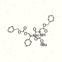 CC(C)(C)OC(=O)N[C@H](CC(=O)OCc1ccccc1)C(=O)N[C@H](COC(=O)OCc1ccccc1)c1ccccc1